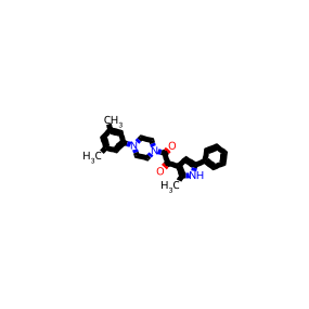 Cc1cc(C)cc(N2CCN(C(=O)C(=O)c3cc(-c4ccccc4)[nH]c3C)CC2)c1